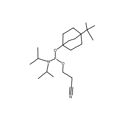 CC(C)N(C(C)C)P(OCCC#N)OC12CCC(C(C)(C)C)(CC1)CC2